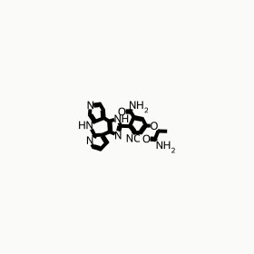 CC(Oc1cc(C#N)c(-c2nc3c([nH]2)-c2ccncc2Nc2ncccc2-3)c(C(N)=O)c1)C(N)=O